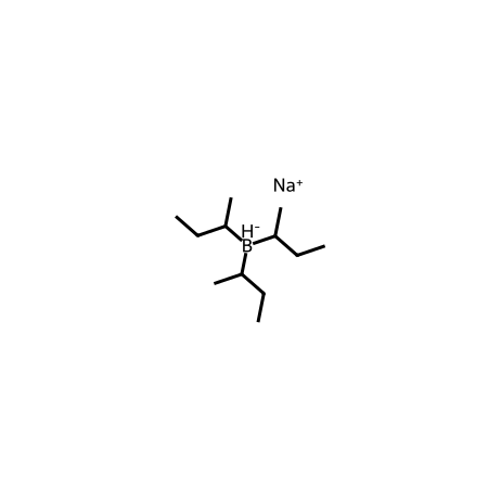 CCC(C)[BH-](C(C)CC)C(C)CC.[Na+]